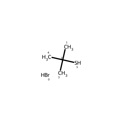 Br.CC(C)(C)S